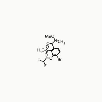 CON(C)C(=O)c1ccc(Br)c(OCC(F)F)c1S(C)(=O)=O